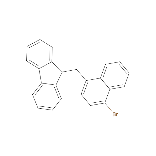 Brc1ccc(CC2c3ccccc3-c3ccccc32)c2ccccc12